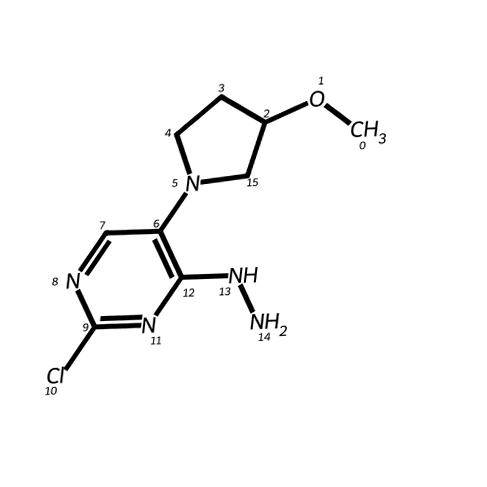 COC1CCN(c2cnc(Cl)nc2NN)C1